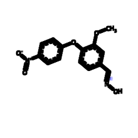 COc1cc(/C=N/O)ccc1Oc1ccc([N+](=O)[O-])cc1